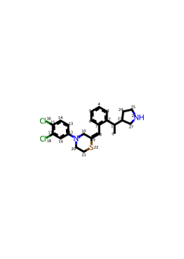 CC(c1ccccc1C=C1CN(c2ccc(Cl)c(Cl)c2)CCS1)C1CCNC1